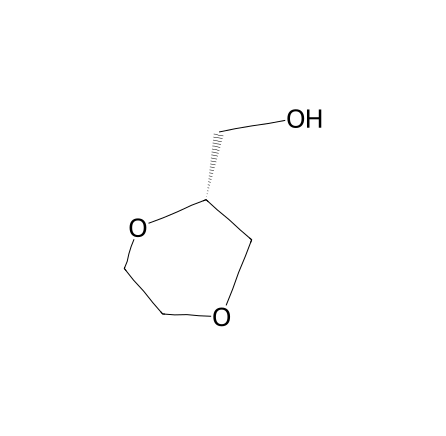 OC[C@@H]1COCCO1